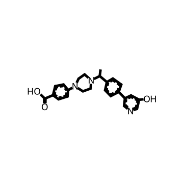 CC(c1ccc(-c2cncc(O)c2)cc1)N1CCN(c2ccc(C(=O)O)cc2)CC1